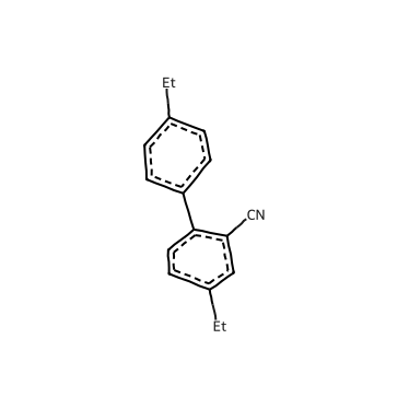 CCc1ccc(-c2ccc(CC)cc2C#N)cc1